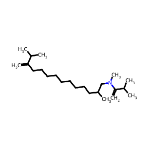 C=C(CCCCCCCCCC(C)CN(C)C(=C)C(C)C)C(C)C